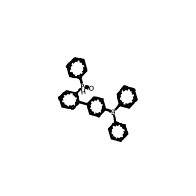 O=[PH](c1ccccc1)c1ccccc1-c1ccc(B(c2ccccc2)c2ccccc2)cc1